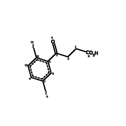 O=C(O)CCC(=O)c1cc(I)ccc1I